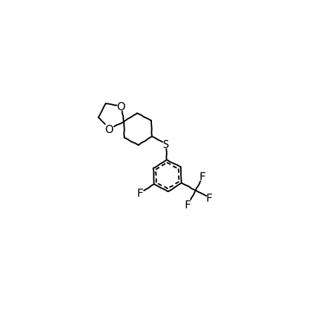 Fc1cc(SC2CCC3(CC2)OCCO3)cc(C(F)(F)F)c1